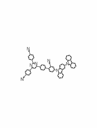 N#Cc1ccc(-c2cc(-c3ccc(-c4ccc(-n5c6ccccc6c6cc(-n7c8ccccc8c8ccccc87)ccc65)cc4C#N)cc3)nc(-c3ccc(C#N)cc3)n2)cc1